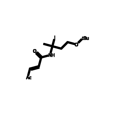 CC(=O)/C=C/C(=O)NC(C)(I)CCOC(C)(C)C